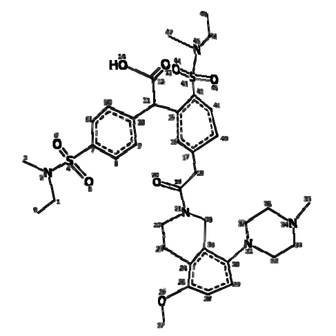 CCN(C)S(=O)(=O)c1ccc(C(C(=O)O)c2cc(CC(=O)N3CCc4c(OC)ccc(N5CCN(C)CC5)c4C3)ccc2S(=O)(=O)N(C)CC)cc1